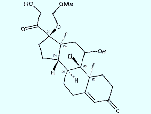 COCO[C@]1(C(=O)CO)CC[C@H]2[C@@H]3CCC4=CC(=O)CC[C@]4(C)[C@@]3(Cl)C(O)C[C@@]21C